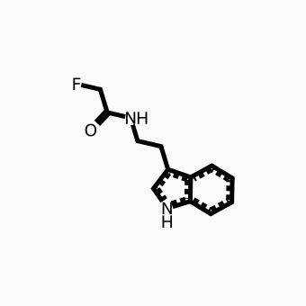 O=C(CF)NCCc1c[nH]c2ccccc12